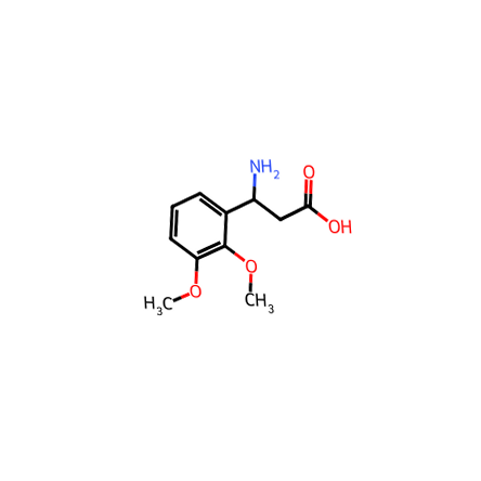 COc1cccc(C(N)CC(=O)O)c1OC